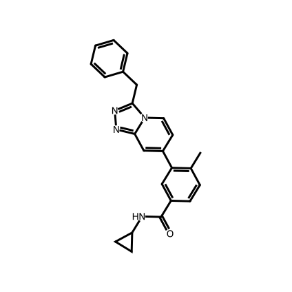 Cc1ccc(C(=O)NC2CC2)cc1-c1ccn2c(Cc3ccccc3)nnc2c1